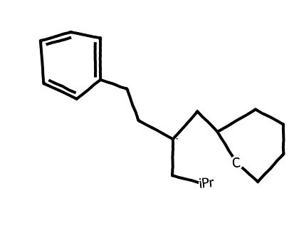 CC(C)C[C](CCc1ccccc1)CC1CCCCC1